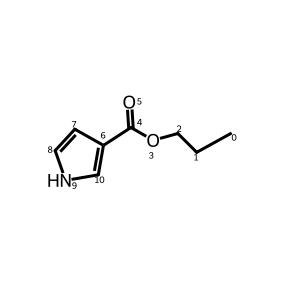 CCCOC(=O)c1cc[nH]c1